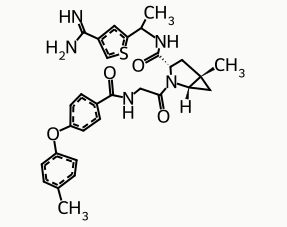 Cc1ccc(Oc2ccc(C(=O)NCC(=O)N3[C@H]4C[C@@]4(C)C[C@H]3C(=O)NC(C)c3cc(C(=N)N)cs3)cc2)cc1